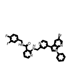 O=C(NCc1ccc(F)c(F)c1)c1cccnc1NCc1cc(-c2cn(-c3ccccc3)c3ncc(Br)cc23)ccn1